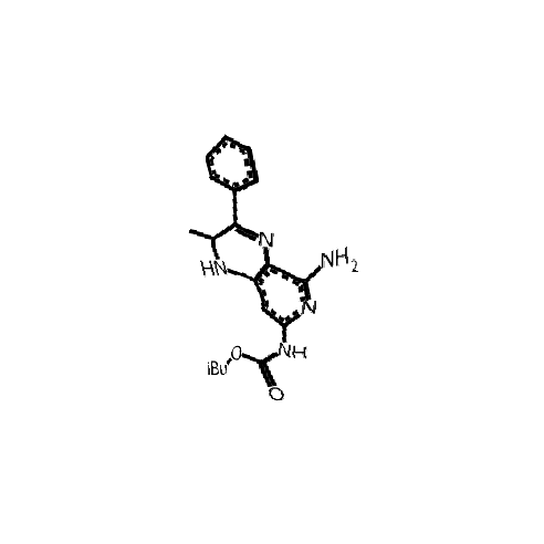 CCC(C)OC(=O)Nc1cc2c(c(N)n1)N=C(c1ccccc1)C(C)N2